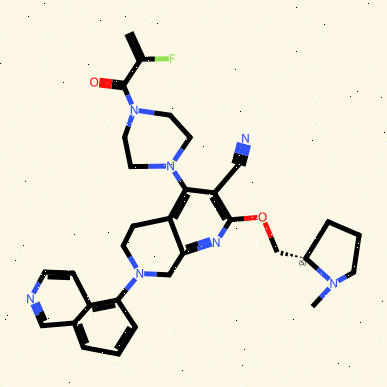 C=C(F)C(=O)N1CCN(c2c(C#N)c(OC[C@@H]3CCCN3C)nc3c2CCN(c2cccc4cnccc24)C3)CC1